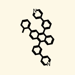 CC1CC=CC=C1c1ccc2c(-c3cccc(-c4ccncc4)c3)c3ccccc3c(-c3cccc(-c4ccncc4)c3)c2c1